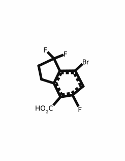 O=C(O)c1c(F)cc(Br)c2c1CCC2(F)F